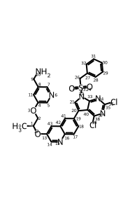 C[C@@H](COc1cncc(CN)c1)Oc1cnc2ccc(-c3cn(S(=O)(=O)Cc4ccccc4)c4nc(Cl)nc(Cl)c34)cc2c1